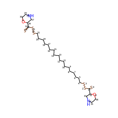 S=C(SSCCCCCCCCCCCCCCCCCCSSC(=S)C1CNCCO1)C1CNCCO1